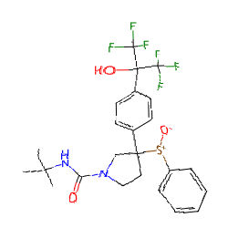 CC(C)(C)NC(=O)N1CCC(c2ccc(C(O)(C(F)(F)F)C(F)(F)F)cc2)([S+]([O-])c2ccccc2)C1